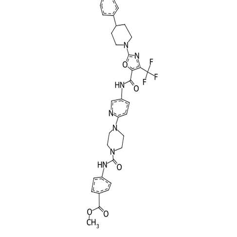 COC(=O)c1ccc(NC(=O)N2CCN(c3ccc(NC(=O)c4oc(N5CCC(c6ccccc6)CC5)nc4C(F)(F)F)cn3)CC2)cc1